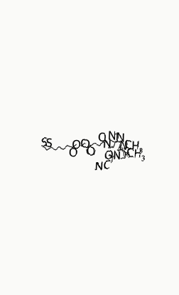 C[C@@H]1CCN(C(=O)CC#N)C[C@@H]1N(C)c1ncnc2c1ccn2C(=O)CCC(=O)OCOC(=O)CCCCC1CCSS1